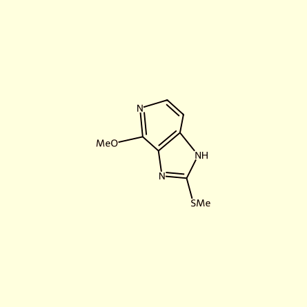 COc1nccc2[nH]c(SC)nc12